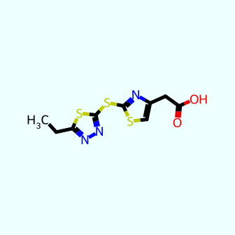 CCc1nnc(Sc2nc(CC(=O)O)cs2)s1